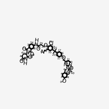 COc1ccc(CN(c2nccc(COc3ccc(C(C)(C)c4cc(Cl)c(OCCC(=O)Nc5ccc6c(c5)C(=O)N(C5CCC(=O)NC5=O)C6=O)c(C#N)c4)cc3)n2)S(C)(=O)=O)cc1